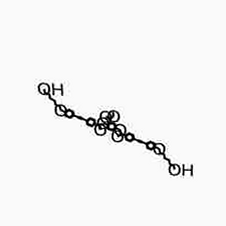 COC(=O)c1cc(OC(=O)c2ccc(C#Cc3ccc(OCCCCCCO)cc3)cc2)ccc1OC(=O)c1ccc(C#Cc2ccc(OCCCCCCO)cc2)cc1